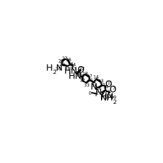 CCn1c(N)c(C(=O)NC)c(=O)c2ccc(-c3ccc(NC(=O)NCc4cccc(N)c4)cc3)nc21